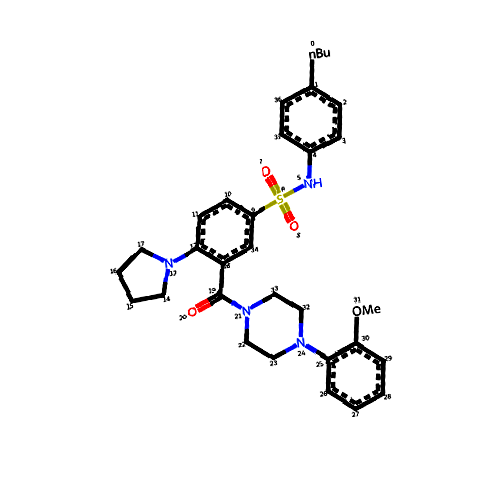 CCCCc1ccc(NS(=O)(=O)c2ccc(N3CCCC3)c(C(=O)N3CCN(c4ccccc4OC)CC3)c2)cc1